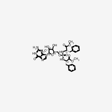 COC(=O)[C@H](Cc1ccccc1)NP(=O)(N[C@@H](Cc1ccccc1)C(=O)OC)OC[C@H]1O[C@@H](n2cnc3c(=O)[nH]c(N)nc32)[C@@](C)(O)C1O